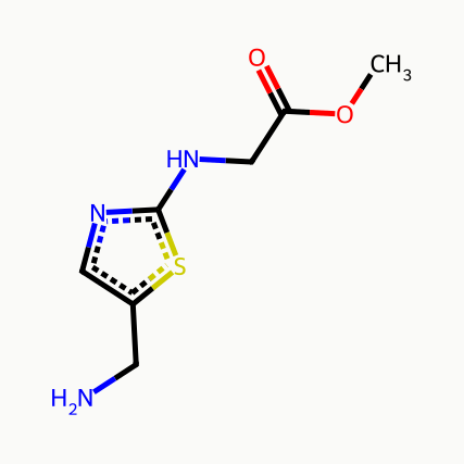 COC(=O)CNc1ncc(CN)s1